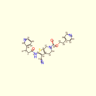 CC(CC(=O)Nc1sc2c(c1C#N)CCN(C(=O)OCCc1ccncc1)C2)c1cccnc1